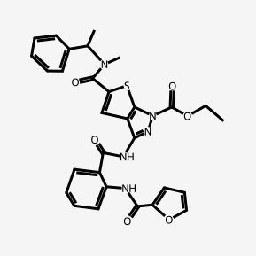 CCOC(=O)n1nc(NC(=O)c2ccccc2NC(=O)c2ccco2)c2cc(C(=O)N(C)C(C)c3ccccc3)sc21